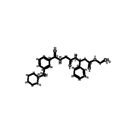 CCOC(=O)CC(NC(=O)CNC(=O)c1cccc(NN2CCCCS2)c1)c1cccnc1